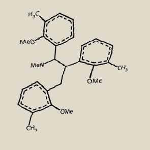 CNC(c1cccc(C)c1OC)C(Cc1cccc(C)c1OC)c1cccc(C)c1OC